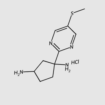 CSc1cnc(C2(N)CCC(N)C2)nc1.Cl